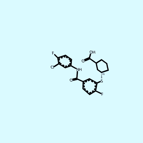 O=C(Nc1ccc(F)c(Cl)c1)c1ccc(F)c(S[C@H]2CCCC(C(=O)O)C2)c1